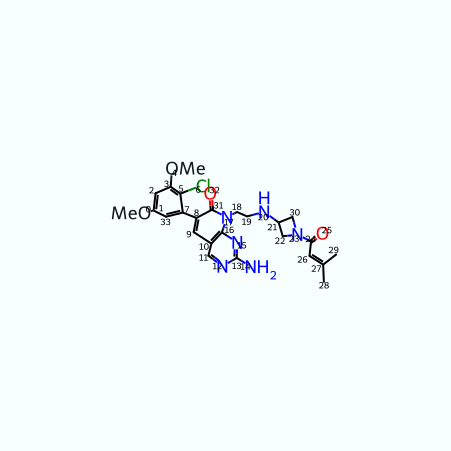 COc1cc(OC)c(Cl)c(-c2cc3cnc(N)nc3n(CCNC3CN(C(=O)C=C(C)C)C3)c2=O)c1